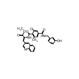 COC(=O)C(=Cc1cnc2ccccc2c1)NC(=O)c1c(C)cc(C(=O)NCc2cccc(O)c2)cc1Cl